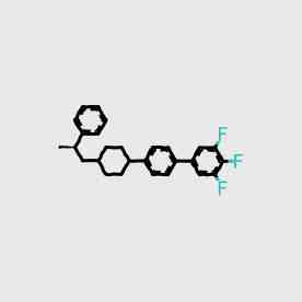 C[C@H](CC1CCC(c2ccc(-c3cc(F)c(F)c(F)c3)cc2)CC1)c1ccccc1